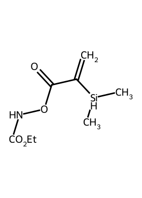 C=C(C(=O)ONC(=O)OCC)[SiH](C)C